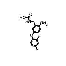 Cc1ccc(Oc2ccc(N)c(CNC(=O)O)c2)c(F)c1